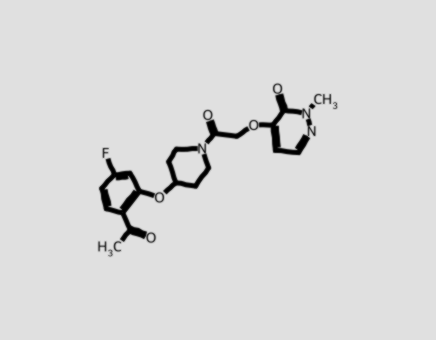 CC(=O)c1ccc(F)cc1OC1CCN(C(=O)COc2ccnn(C)c2=O)CC1